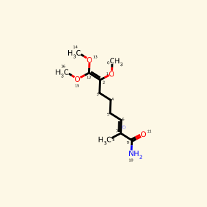 COC(CCC/C=C(\C)C(N)=O)=C(OC)OC